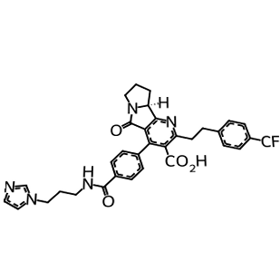 O=C(NCCCn1ccnc1)c1ccc(-c2c(C(=O)O)c(CCc3ccc(C(F)(F)F)cc3)nc3c2C(=O)N2CCC[C@@H]32)cc1